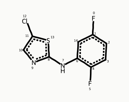 Fc1ccc(F)c(Nc2ncc(Cl)s2)c1